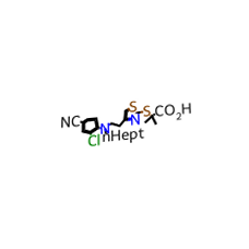 CCCCCCCN(CCc1csc(SC(C)(C)C(=O)O)n1)c1ccc(C#N)cc1Cl